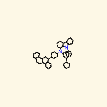 c1ccc(-c2cccc(N(c3ccc(-c4cc5c6ccccc6ccc5c5ccccc45)cc3)c3cccc4c5ccccc5n(-c5ccccc5)c34)c2)cc1